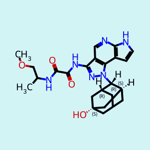 COCC(C)NC(=O)C(=O)Nc1nn([C@H]2[C@@H]3CC4C[C@H]2C[C@@](O)(C4)C3)c2c1cnc1[nH]ccc12